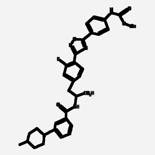 CC1CCN(c2cccc(C(=O)NC(Cc3ccc(-c4noc(-c5ccc(NC(=O)OC(C)(C)C)cc5)n4)c(F)c3)C(=O)O)c2)CC1